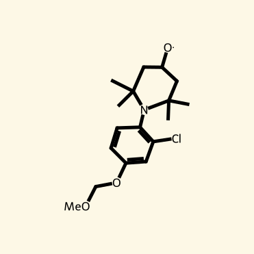 COCOc1ccc(N2C(C)(C)CC([O])CC2(C)C)c(Cl)c1